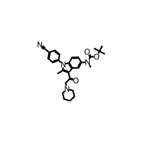 Cc1c(C(=O)CN2CCCCC2)c2cc(N(C)C(=O)OC(C)(C)C)ccc2n1-c1ccc(C#N)cc1